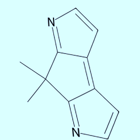 CC1(C)C2=NC=CC2=C2C=CN=C21